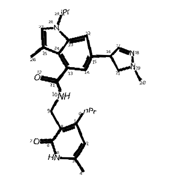 CCCc1cc(C)[nH]c(=O)c1CNC(=O)c1cc(C2C=NN(C)C2)cc2c1c(C)cn2C(C)C